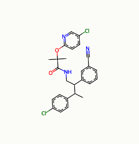 CC(c1ccc(Cl)cc1)C(CNC(=O)C(C)(C)Oc1ccc(Cl)cn1)c1cccc(C#N)c1